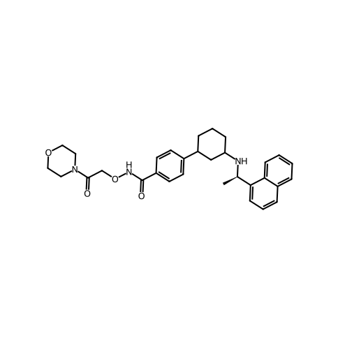 C[C@@H](NC1CCCC(c2ccc(C(=O)NOCC(=O)N3CCOCC3)cc2)C1)c1cccc2ccccc12